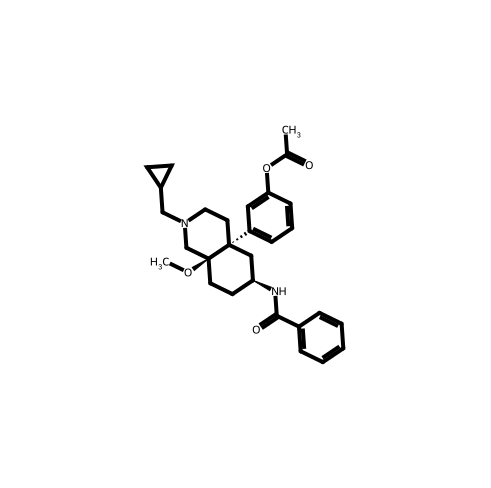 CO[C@]12CC[C@H](NC(=O)c3ccccc3)C[C@]1(c1cccc(OC(C)=O)c1)CCN(CC1CC1)C2